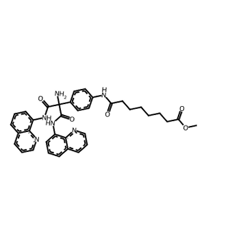 COC(=O)CCCCCCC(=O)Nc1ccc(C(N)(C(=O)Nc2cccc3cccnc23)C(=O)Nc2cccc3cccnc23)cc1